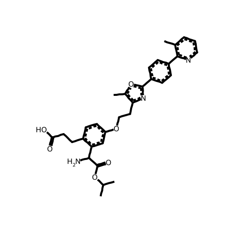 Cc1cccnc1-c1ccc(-c2nc(CCOc3ccc(CCC(=O)O)c(C(N)C(=O)OC(C)C)c3)c(C)o2)cc1